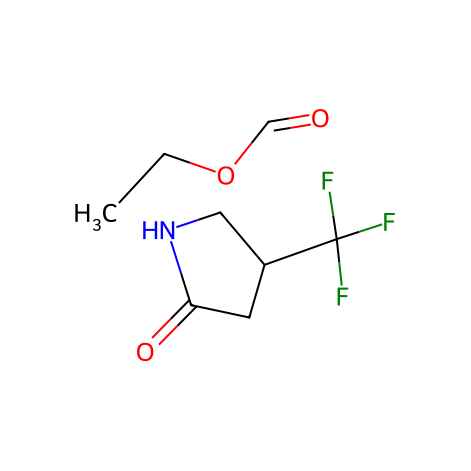 CCOC=O.O=C1CC(C(F)(F)F)CN1